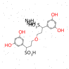 O=S(=O)(O)C(CCOCCC(c1cc(O)cc(O)c1)S(=O)(=O)O)c1cc(O)cc(O)c1.[NaH].[NaH]